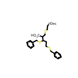 CCCCCCCCCCCCSCC(C(=O)O)C(CCSCc1ccccc1)SCc1ccccc1